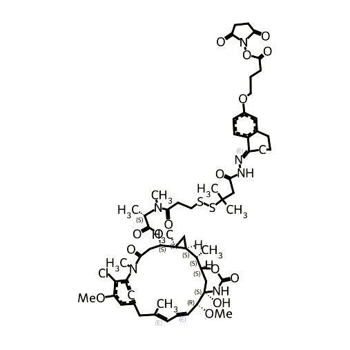 COc1cc2cc(c1Cl)N(C)C(=O)C[C@H](OC(=O)[C@H](C)N(C)C(=O)CCSSC(C)(C)CC(=O)N/N=C1\CCCc3cc(OCCCC(=O)ON4C(=O)CCC4=O)ccc31)[C@@]1(C)C[C@H]1[C@H](C)[C@@H]1C[C@@](O)(NC(=O)O1)[C@H](OC)/C=C/C=C(\C)C2